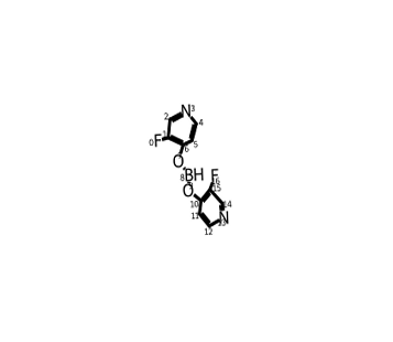 Fc1cnccc1OBOc1ccncc1F